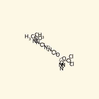 CC(C)n1ncn(-c2ccc(N3CCN(c4ccc(OC[C@H]5CO[C@](Cn6cncn6)(c6cc(Cl)cc(Cl)c6)OC5)cc4)CC3)cc2)c1=O